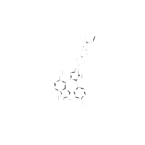 C=CC(=O)N1CC2(CC(n3nc(-c4ccc(CC)cc4)c(-c4c(Cl)c(C)cc5[nH]ncc45)c3C)C2)C1